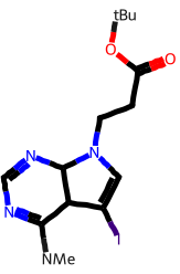 CNC1=NC=NC2C1C(I)=CN2CCC(=O)OC(C)(C)C